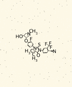 CN1CC(O)C(Oc2ccc(N3C(=S)N(c4ccc(C#N)c(C(F)(F)F)c4)C(=O)C3(C)C)cc2F)C1